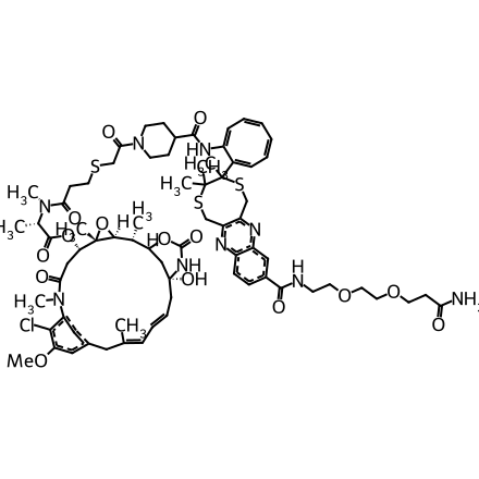 COc1cc2cc(c1Cl)N(C)C(=O)C[C@H](OC(=O)[C@H](C)N(C)C(=O)CCSCC(=O)N1CCC(C(=O)NC3=C/C=C\C=C/C=C\3C3(C)SCc4nc5cc(C(=O)NCCOCCOCCC(N)=O)ccc5nc4CSC3(C)C)CC1)[C@]1(C)O[C@H]1[C@H](C)[C@@H]1C[C@](O)(C/C=C/C=C(\C)C2)NC(=O)O1